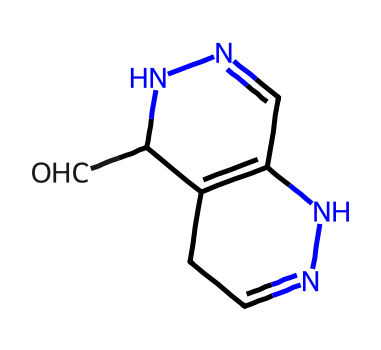 O=CC1NN=CC2=C1CC=NN2